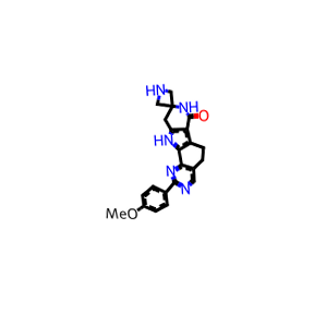 COc1ccc(-c2ncc3c(n2)-c2[nH]c4c(c2CC3)C(=O)NC2(CNC2)C4)cc1